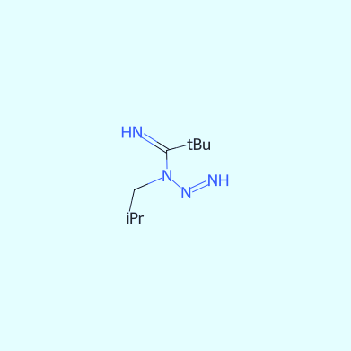 CC(C)CN(N=N)C(=N)C(C)(C)C